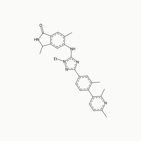 CCn1nc(-c2ccc(-c3ccc(C)nc3C)c(C)c2)nc1Nc1cc2c(cc1C)C(=O)NC2C